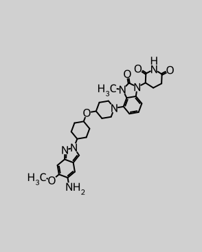 COc1cc2nn(C3CCC(OC4CCN(c5cccc6c5n(C)c(=O)n6C5CCC(=O)NC5=O)CC4)CC3)cc2cc1N